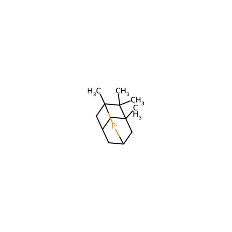 CC12CC3CC(C1)[P]C(C)(C3)C2(C)C